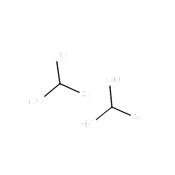 CC(=O)C(O)O.CC(=O)C(O)O